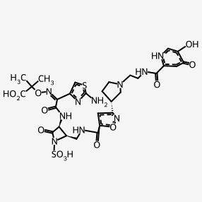 CC(C)(O/N=C(\C(=O)N[C@@H]1C(=O)N(S(=O)(=O)O)[C@@H]1CNC(=O)c1cc([C@@H]2CCN(CCNC(=O)c3cc(=O)c(O)c[nH]3)C2)no1)c1csc(N)n1)C(=O)O